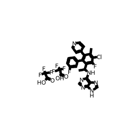 Cc1c(Cl)c(F)c(C(C)Nc2ncnc3[nH]cnc23)c(-c2cccc(F)c2)c1-c1ccncc1.O=C(O)C(F)(F)F.O=C(O)C(F)(F)F